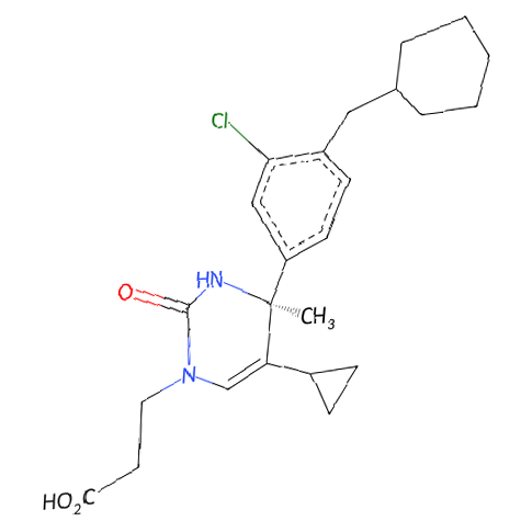 C[C@@]1(c2ccc(CC3CCCCC3)c(Cl)c2)NC(=O)N(CCC(=O)O)C=C1C1CC1